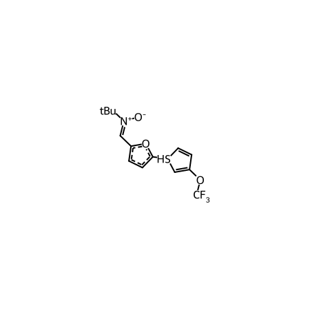 CC(C)(C)[N+]([O-])=Cc1ccc([SH]2C=CC(OC(F)(F)F)=C2)o1